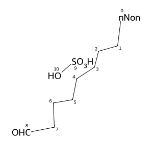 CCCCCCCCCCCCCCCCC=O.O=S(=O)(O)O